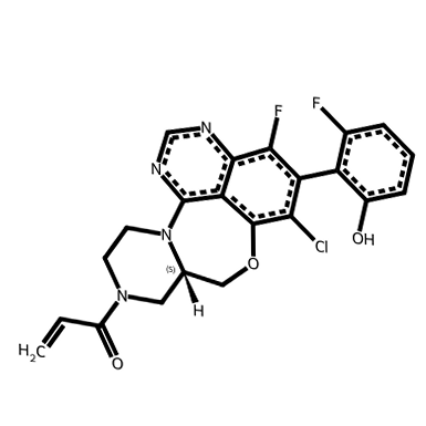 C=CC(=O)N1CCN2c3ncnc4c(F)c(-c5c(O)cccc5F)c(Cl)c(c34)OC[C@@H]2C1